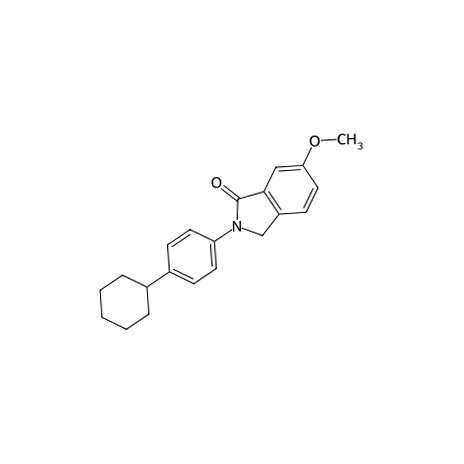 COc1ccc2c(c1)C(=O)N(c1ccc(C3CCCCC3)cc1)C2